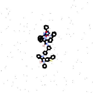 O=c1c2c3ccccc3n(-c3ccc(-c4cccc(-n5c(=O)c6c7ccccc7n(-c7ccccc7)c6c6c5ccc5c7ccccc7n(-c7nc(-c8ccccc8)nc(-c8ccccc8)n7)c56)c4)cc3)c2c2cc3c(cc2n1-c1ccccc1)sc1ccccc13